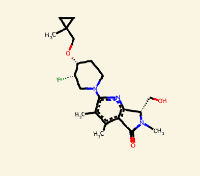 Cc1c(N2CC[C@@H](OCC3(C)CC3)[C@@H](F)C2)nc2c(c1C)C(=O)N(C)[C@H]2CO